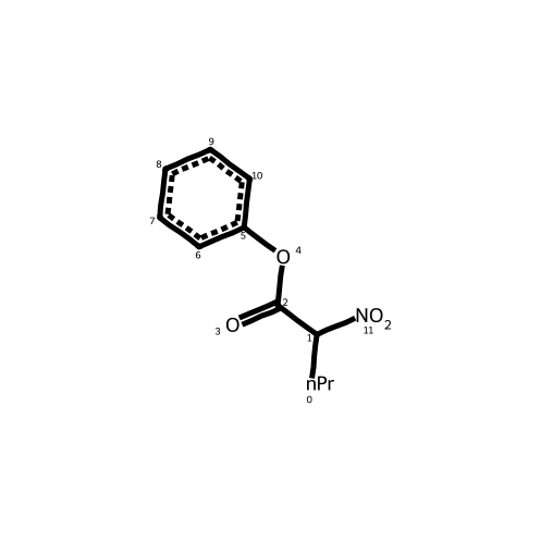 CCCC(C(=O)Oc1ccccc1)[N+](=O)[O-]